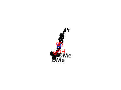 COc1ccc(C(OCCC(O)C2CCN(C(=O)O[C@@H]3CC[C@]4(C)C(=CCC5C6CCC(CCCC(C)C)[C@]6(C)CCC54)C3)CC2)(c2ccccc2)c2ccc(OC)cc2)cc1